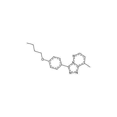 CCCCOc1ccc(-c2nnc3c(C)ccnn23)cc1